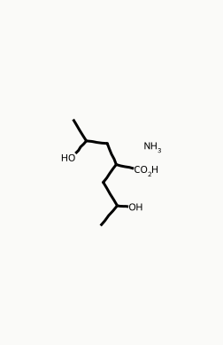 CC(O)CC(CC(C)O)C(=O)O.N